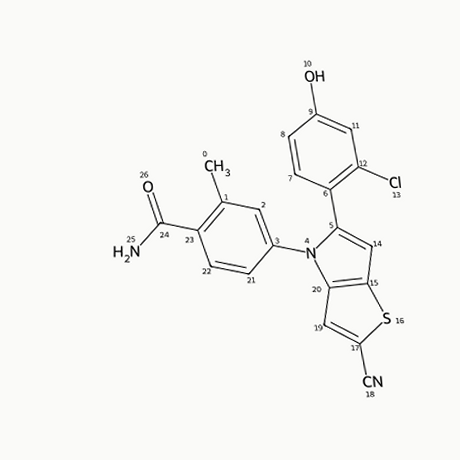 Cc1cc(-n2c(-c3ccc(O)cc3Cl)cc3sc(C#N)cc32)ccc1C(N)=O